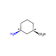 N[C@H]1CCC[C@@H](C(=O)O)C1